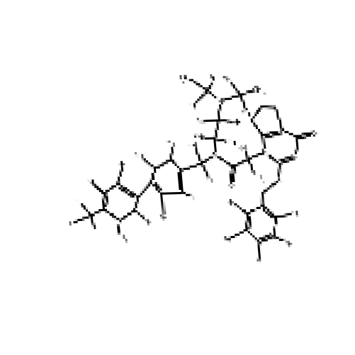 [2H]C1=C(C2=C([2H])C([2H])=C(C(F)(F)F)C(C)C2[2H])C([2H])C([2H])C(C([2H])([2H])N(C(=O)C([2H])(C)n2c(SCc3c([2H])c([2H])c(F)c([2H])c3[2H])nc(=O)c3c2CCC3)C([2H])([2H])C([2H])([2H])N(C([2H])([2H])C)C([2H])([2H])C)=C1[2H]